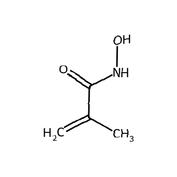 C=C(C)C(=O)NO